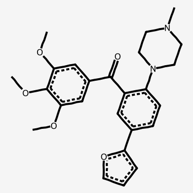 COc1cc(C(=O)c2cc(-c3ccco3)ccc2N2CCN(C)CC2)cc(OC)c1OC